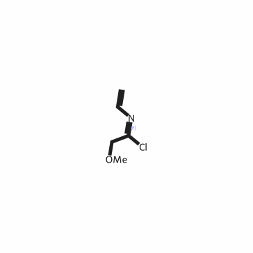 C=C/N=C(/Cl)COC